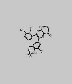 Cc1cc(-c2nc3c(=O)cc[nH]c3nc2-c2cccc(C#N)c2F)cc(Cl)c1NS(C)(=O)=O